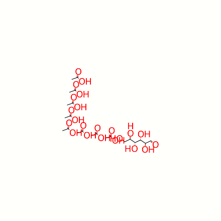 CC(=O)O.CC(=O)O.CC(=O)O.CC(=O)O.CC(=O)O.CC(=O)O.CC(=O)O.CC(=O)O.O=C[C@@H](O)[C@@H](O)[C@H](O)[C@H](O)CO